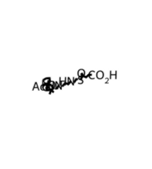 CC(=O)N1CCCCC12OCC(C)(C)[C@H](CNCCCNCCSC(=O)CCC(=O)O)O2